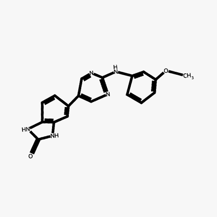 COc1cccc(Nc2ncc(-c3ccc4[nH]c(=O)[nH]c4c3)cn2)c1